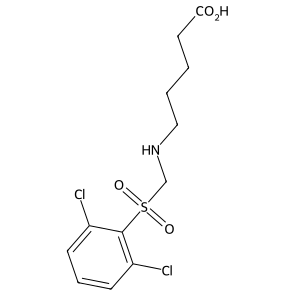 O=C(O)CCCCNCS(=O)(=O)c1c(Cl)cccc1Cl